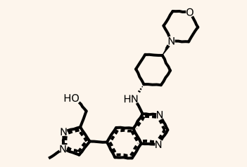 Cn1cc(-c2ccc3ncnc(N[C@H]4CC[C@H](N5CCOCC5)CC4)c3c2)c(CO)n1